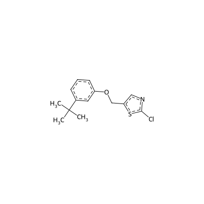 CC(C)(C)c1cccc(OCc2cnc(Cl)s2)c1